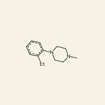 CCc1ccccc1N1CCN(C)CC1